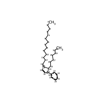 CCCCCCCCCCCCCCN1C=CN(c2ccccc2)C1CCCCCCC